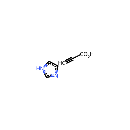 C#CC(=O)O.c1c[nH]cn1